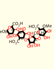 CO[C@@H]1OC(C(=O)O)[C@@H](O[C@@H]2CC(C(=O)O)[C@@H](O[C@@H]3O[C@@H](C(=O)O)[C@@H](O[C@@H]4OC(C(=O)O)[C@@H](OC)C(O)[C@@H]4O)C(O)C3O)[C@H](O)C2O)C(O)C1O